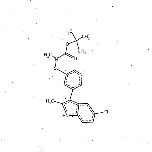 Cc1[nH]c2ccc(Cl)cc2c1-c1cncc(SN(C)C(=O)OC(C)(C)C)c1